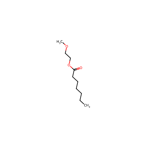 CCCCCCC(=O)OCCOC